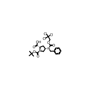 CC(C)(C)OC(=O)N1C[C@@H](N(Cc2ccccc2)C(=O)OCC(Cl)(Cl)Cl)C[C@H]1C(=O)O